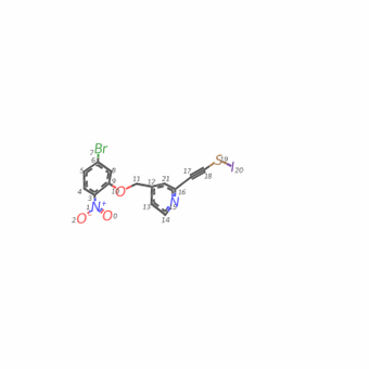 O=[N+]([O-])c1ccc(Br)cc1OCc1ccnc(C#CSI)c1